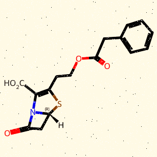 O=C(Cc1ccccc1)OCCC1=C(C(=O)O)N2C(=O)C[C@H]2S1